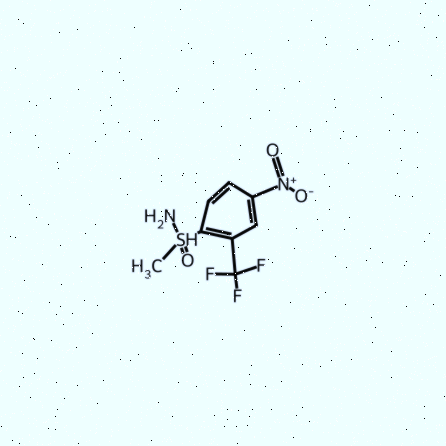 C[SH](N)(=O)c1ccc([N+](=O)[O-])cc1C(F)(F)F